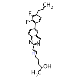 C=CCc1ccc(-c2ccc3nc(/C=C/CCCC(C)O)ncc3c2)c(F)c1F